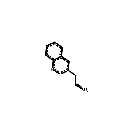 C=CCc1cc2ccccc2nn1